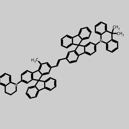 Cc1cc(/C=C/c2ccc3c(c2)C2(c4ccccc4-c4ccccc42)c2cc(N4c5ccccc5C(C)(C)c5ccccc54)ccc2-3)cc2c1-c1ccc(N3CCCc4ccccc43)cc1C21c2ccccc2-c2ccccc21